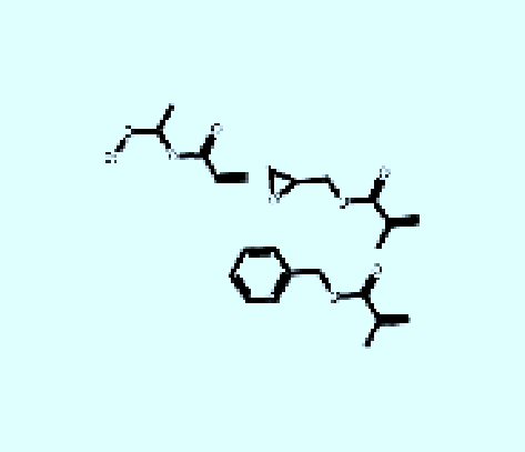 C=C(C)C(=O)OCC1CO1.C=C(C)C(=O)OCc1ccccc1.C=CC(=O)OC(C)OCC